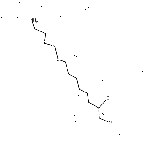 NCCCCOCCCCCCC(O)CCl